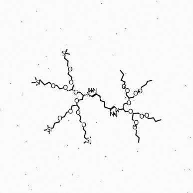 CCCCOOCC(COOCCCC)OCC(COC(COOCCCC)COOCCCC)n1cc(CCCCc2cn(C(COC(COCCOCCC[Si](C)(C)C)COCCOCCC[Si](C)(C)C)COC(COCCOCCC[Si](C)(C)C)COCCOCCC[Si](C)(C)C)nn2)nn1